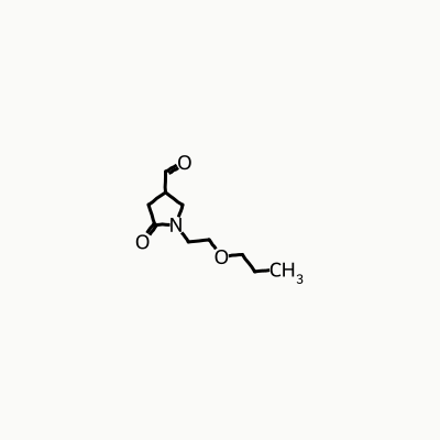 CCCOCCN1CC(C=O)CC1=O